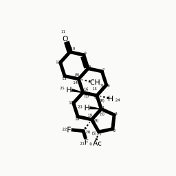 CC(=O)[C@H]1CC[C@H]2[C@@H]3CCC4=CC(=O)CC[C@]4(C)[C@H]3CC[C@]12C(F)F